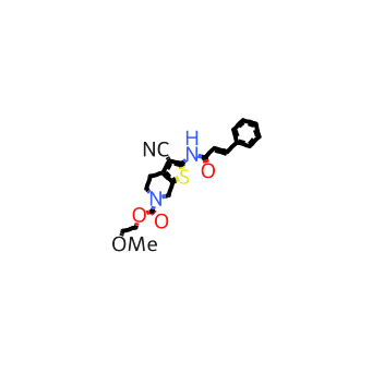 COCCOC(=O)N1CCc2c(sc(NC(=O)/C=C/c3ccccc3)c2C#N)C1